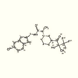 CN(C(=O)NCc1cc2cc(Cl)ccc2[nH]1)C1CCCN(C(=O)C(C)(O)C(F)(F)F)C1